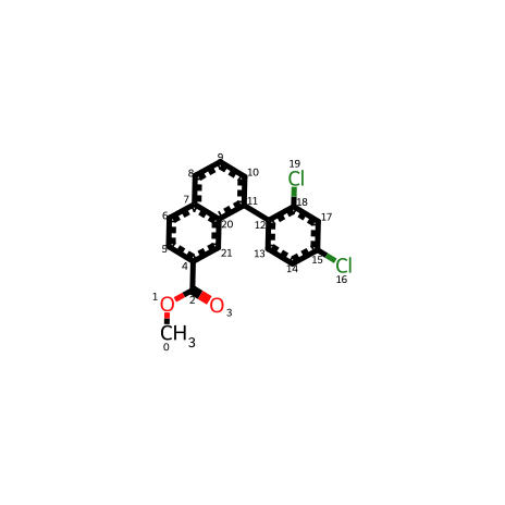 COC(=O)c1ccc2cccc(-c3ccc(Cl)cc3Cl)c2c1